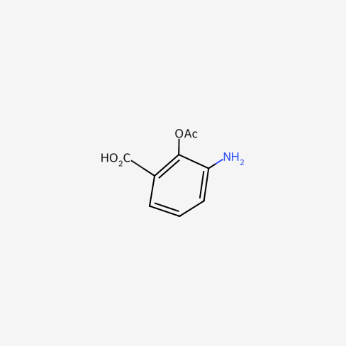 CC(=O)Oc1c(N)cccc1C(=O)O